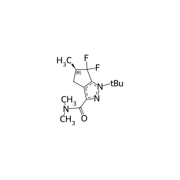 C[C@@H]1Cc2c(C(=O)N(C)C)nn(C(C)(C)C)c2C1(F)F